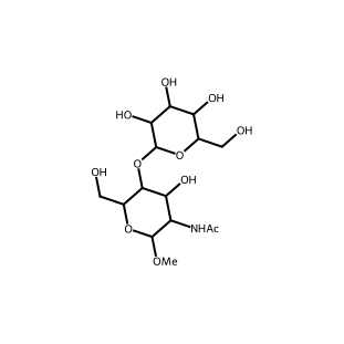 COC1OC(CO)C(OC2OC(CO)C(O)C(O)C2O)C(O)C1NC(C)=O